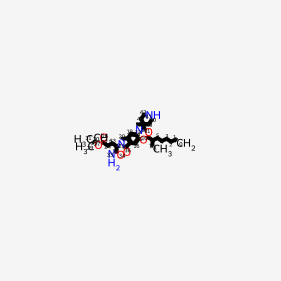 C=CCCCCC(CC)C(=O)O[C@@H]1N(c2ccc3c(c2)CN(C(CCC(=O)OC(C)(C)C)C(N)=O)C3=O)CC12CCNCC2